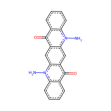 Nn1c2ccccc2c(=O)c2cc3c(cc21)c(=O)c1ccccc1n3N